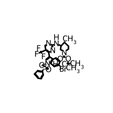 CC1CCN(C(=O)OC(C)(C)C)CC1Nc1ncc(C(F)(F)F)c(-c2cn(S(=O)(=O)c3ccccc3)c3cc(Br)ccc23)n1